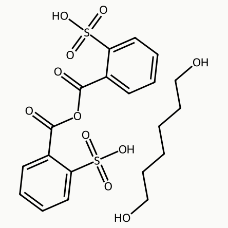 O=C(OC(=O)c1ccccc1S(=O)(=O)O)c1ccccc1S(=O)(=O)O.OCCCCCCO